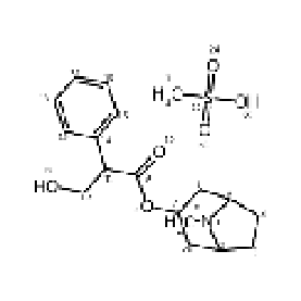 CN1C2CCC1CC(OC(=O)C(CO)c1ccccc1)C2.CS(=O)(=O)O